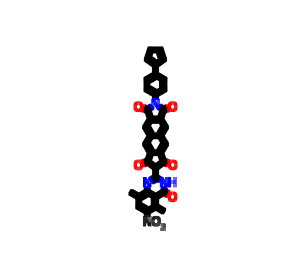 Cc1cc([N+](=O)[O-])c(C)c2c(=O)[nH]c(C3C(=O)c4cc5cc6c(cc5cc4C3=O)C(=O)N(c3ccc(C4=CCC=C4)cc3)C6=O)nc12